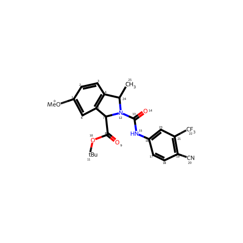 COc1ccc2c(c1)C(C(=O)OC(C)(C)C)N(C(=O)Nc1ccc(C#N)c(C(F)(F)F)c1)C2C